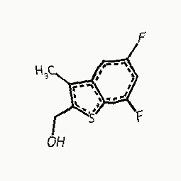 Cc1c(CO)sc2c(F)cc(F)cc12